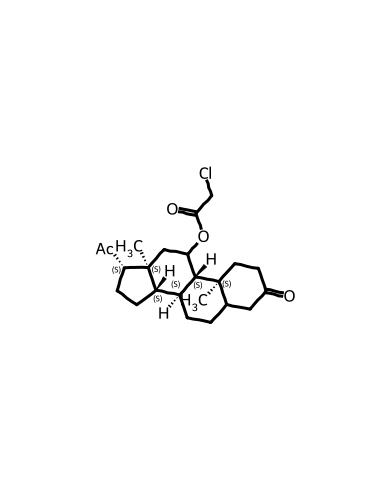 CC(=O)[C@H]1CC[C@H]2[C@@H]3CCC4CC(=O)CC[C@]4(C)[C@H]3C(OC(=O)CCl)C[C@]12C